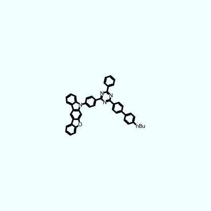 CCCCc1ccc(-c2ccc(-c3nc(-c4ccccc4)nc(-c4ccc(-n5c6ccccc6c6cc7c(cc65)oc5ccccc57)cc4)n3)cc2)cc1